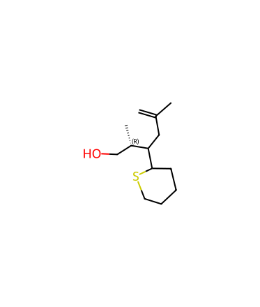 C=C(C)CC(C1CCCCS1)[C@@H](C)CO